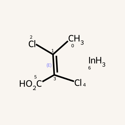 C/C(Cl)=C(\Cl)C(=O)O.[InH3]